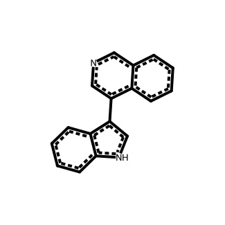 c1ccc2c(-c3c[nH]c4ccccc34)cncc2c1